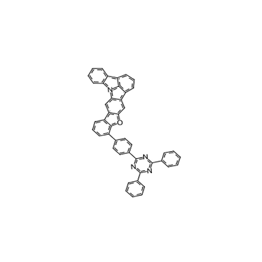 c1ccc(-c2nc(-c3ccccc3)nc(-c3ccc(-c4cccc5c4oc4cc6c7cccc8c9ccccc9n(c6cc45)c87)cc3)n2)cc1